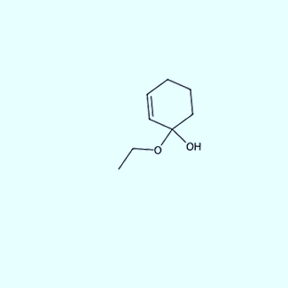 CCOC1(O)C=CCCC1